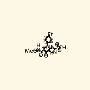 CCc1ccc(-n2cc(C(=O)NOC)c(=O)c3cnc(S(C)(=O)=O)nc32)cc1